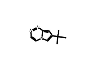 CC(C)(C)c1cc2nnccn2c1